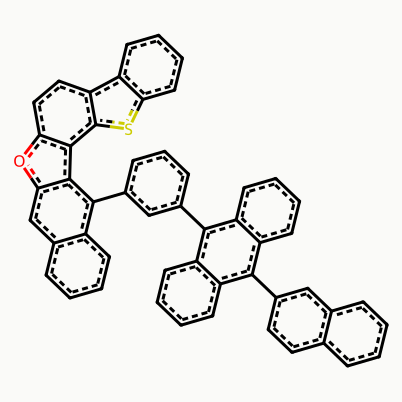 c1cc(-c2c3ccccc3c(-c3ccc4ccccc4c3)c3ccccc23)cc(-c2c3ccccc3cc3oc4ccc5c6ccccc6sc5c4c23)c1